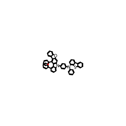 c1ccc(-c2cccc3c2c2c(-c4ccccc4)c4c(cc2n3-c2ccc(N(c3ccccc3)c3cccc5c3sc3ccccc35)cc2)oc2ccccc24)cc1